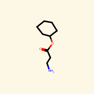 NCCC(=O)OC1CCCCC1